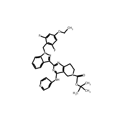 CCOc1cc(F)c(Cn2nc(-c3nc4c(c(Nc5ccncc5)n3)CN(C(=O)OC(C)(C)C)CC4)c3ccccc32)c(F)c1